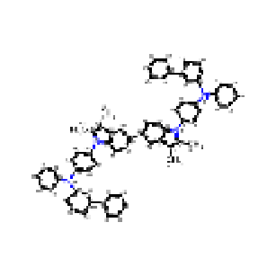 Cc1c(C)n(-c2ccc(N(c3ccccc3)c3cccc(-c4ccccc4)c3)cc2)c2ccc(-c3ccc4c(c3)c(C)c(C)n4-c3ccc(N(c4ccccc4)c4cccc(-c5ccccc5)c4)cc3)cc12